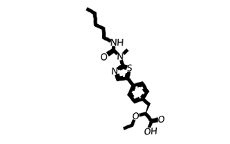 CCCCCNC(=O)N(C)c1ncc(-c2ccc(C[C@H](OCC)C(=O)O)cc2)s1